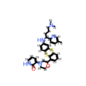 Cc1ccc(C(CCCN(C)C)Nc2ccc3c(c2)Sc2cccc(C4CN(c5ccc[nH]c5=O)CCO4)c2S3)nc1